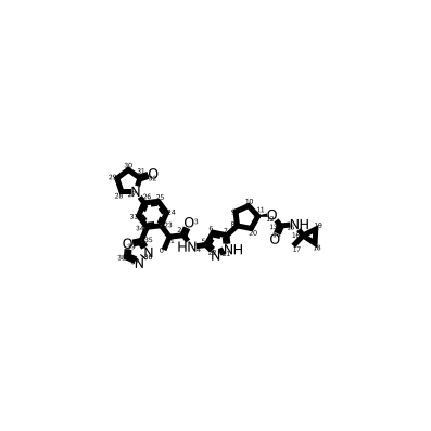 CC(C(=O)Nc1cc(C2CC[C@@H](OC(=O)NC3(C)CC3)C2)[nH]n1)c1ccc(N2CCCC2=O)cc1-c1nnco1